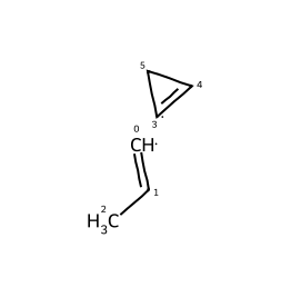 [CH]=CC.[C]1=CC1